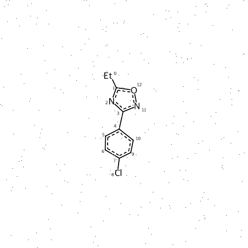 C[CH]c1nc(-c2ccc(Cl)cc2)no1